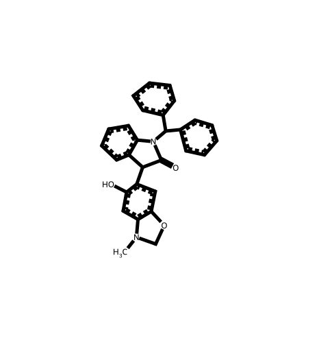 CN1COc2cc(C3C(=O)N(C(c4ccccc4)c4ccccc4)c4ccccc43)c(O)cc21